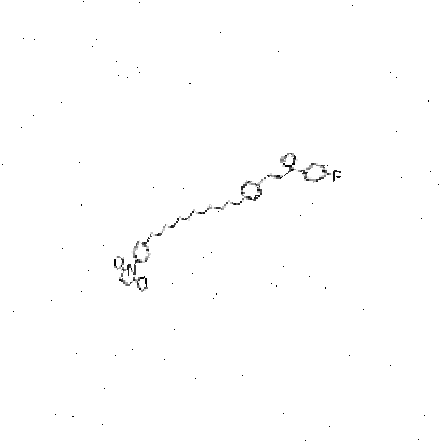 O=C(/C=C/c1ccc(CCCCCCCCCCCCc2ccc(N3C(=O)C=CC3=O)cc2)cc1)c1ccc(F)cc1